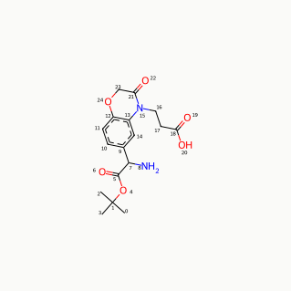 CC(C)(C)OC(=O)C(N)c1ccc2c(c1)N(CCC(=O)O)C(=O)CO2